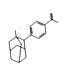 CCC(=O)c1ccc(C2C3CC4CC(C3)CC2(O)C4)cc1